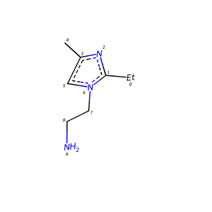 CCc1nc(C)cn1CCN